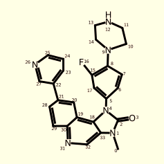 Cn1c(=O)n(-c2ccc(N3CCNCC3)c(F)c2)c2c3cc(-c4cccnc4)ccc3ncc21